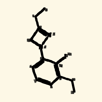 CCC1=NN(c2cccc(CC)c2F)C1